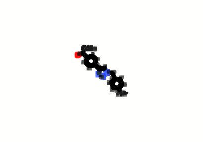 COC(=O)c1ccc(-c2cn(Cc3ccc(C(C)C)cc3)nn2)cc1